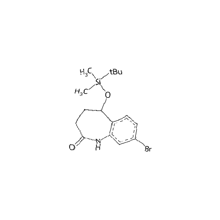 CC(C)(C)[Si](C)(C)OC1CCC(=O)Nc2cc(Br)ccc21